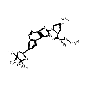 CC(C)[C@H](NC(=O)O)C(=O)N1C[C@@H](C)C[C@H]1c1nc2ccc3cc(B4OC(C)(C)C(C)(C)O4)ccc3c2[nH]1